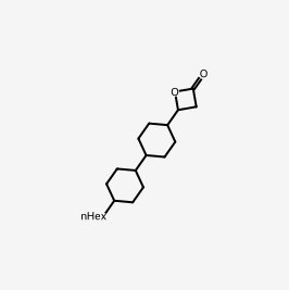 CCCCCCC1CCC(C2CCC(C3CC(=O)O3)CC2)CC1